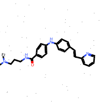 CCN(CC)CCCNC(=O)c1ccc(Nc2ccc(C=Cc3ccccn3)cc2)cc1